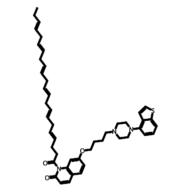 CCC=CCC=CCC=CCC=CCC=CCC=CCCC(=O)n1c(=O)ccc2ccc(OCCCCN3CCN(c4cccc5sccc45)CC3)cc21